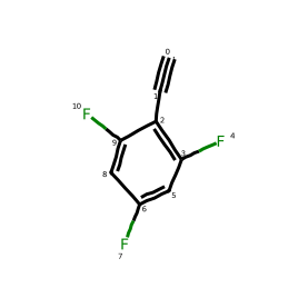 [C]#Cc1c(F)cc(F)cc1F